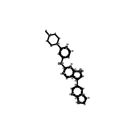 CN1CCN(c2cc(Nc3ncc4c(-c5cnc6nccn6c5)c[nH]c4n3)ccn2)CC1